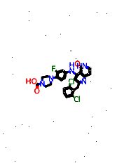 O=C(O)N1CCN(c2ccc(Nc3cc(Cc4c(Cl)cccc4Cl)nc4cc[nH]c(=O)c34)cc2F)CC1